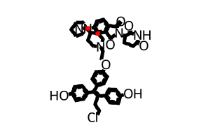 O=C1CCC(N2C(=O)c3ccc(N4CC5CC(C4)N5CC4CCN(CCOc5ccc(C(=C(CCCl)c6ccc(O)cc6)c6ccc(O)cc6)cc5)CC4)cc3C2=O)C(=O)N1